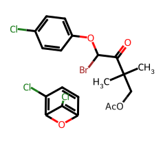 CC(=O)OCC(C)(C)C(=O)C(Br)Oc1ccc(Cl)cc1.Clc1ccc2c(Cl)c1O2